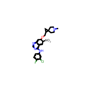 CN1CCC2(CC1)CC2COC1C=c2ncnc(Nc3ccc(F)c(Cl)c3)c2=CC1[N+](=O)[O-]